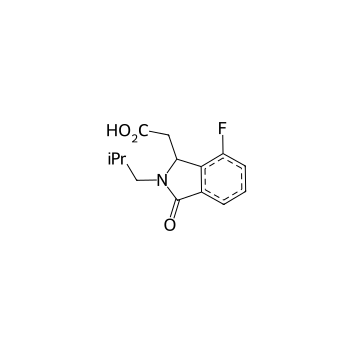 CC(C)CN1C(=O)c2cccc(F)c2C1CC(=O)O